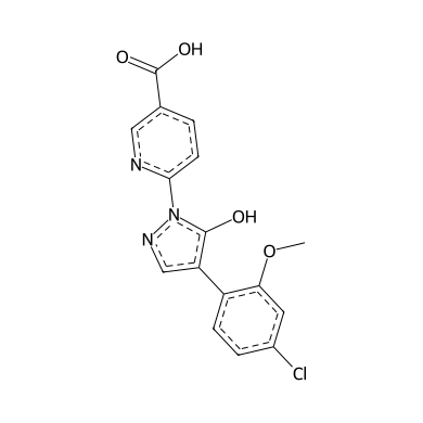 COc1cc(Cl)ccc1-c1cnn(-c2ccc(C(=O)O)cn2)c1O